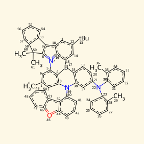 Cc1cc2c3c(c1)-n1c4c(c5cc(C(C)(C)C)cc(c51)B3c1ccc(N(c3ccccc3C)c3ccccc3C)cc1N2c1cccc2oc3ccccc3c12)-c1ccccc1C4(C)C